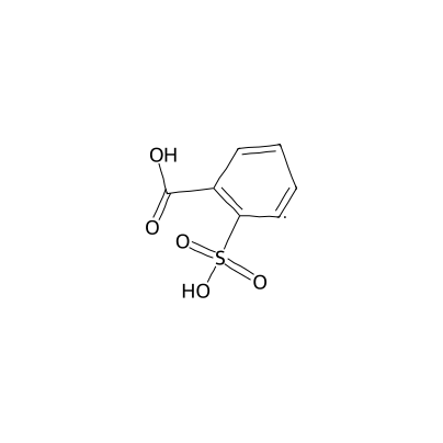 O=C(O)c1ccc[c]c1S(=O)(=O)O